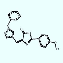 CC(C)Oc1ccc(C2=NC(=Cc3cnn(Cc4ccccc4)c3)C(=O)O2)cc1